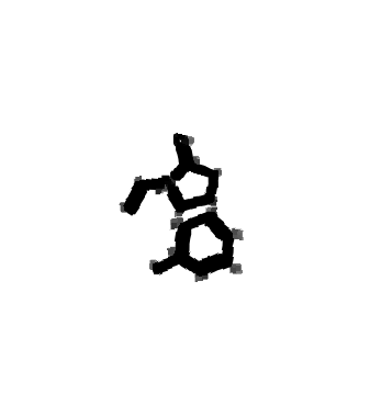 C=CN1CCCC1=O.Cc1ccccc1